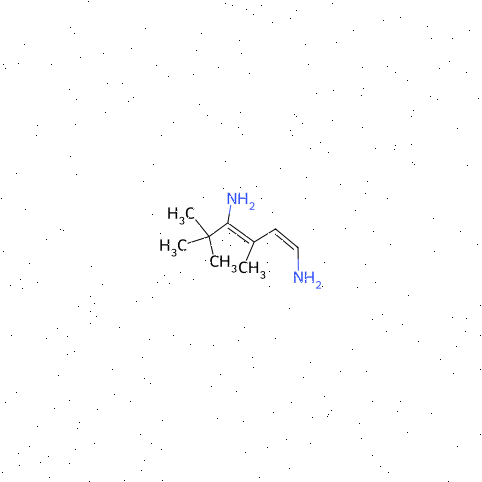 CC(/C=C\N)=C(/N)C(C)(C)C